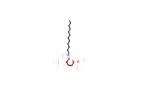 CCCCCCCCCCCCN[C@@H]1O[C@H](CO)[C@H](O)[C@H](O)[C@H]1O